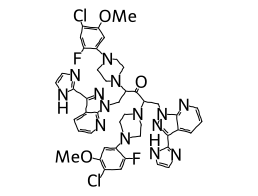 COc1cc(N2CCN(C(Cn3nc(-c4ncc[nH]4)c4cccnc43)C(=O)C(Cn3nc(-c4ncc[nH]4)c4cccnc43)N3CCN(c4cc(OC)c(Cl)cc4F)CC3)CC2)c(F)cc1Cl